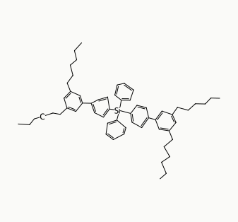 CCCCCCc1cc(CCCCCC)cc(-c2ccc([Si](c3ccccc3)(c3ccccc3)c3ccc(-c4cc(CCCCCC)cc(CCCCCC)c4)cc3)cc2)c1